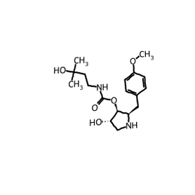 COc1ccc(C[C@H]2NC[C@H](O)[C@H]2OC(=O)NCCC(C)(C)O)cc1